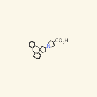 O=C(O)C1=CCN(C2CCC3(Cc4ccccc4Cc4ccccc43)C2)CC1